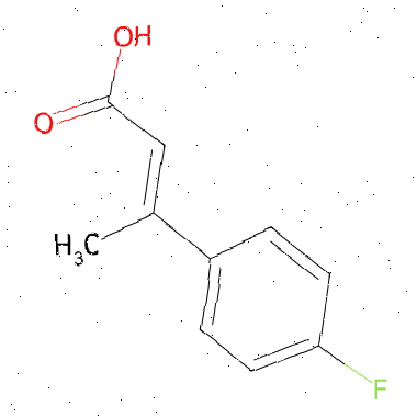 C/C(=C\C(=O)O)c1ccc(F)cc1